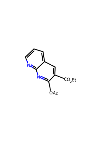 CCOC(=O)c1cc2cccnc2nc1OC(C)=O